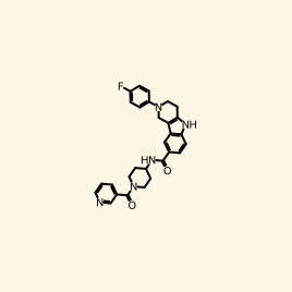 O=C(NC1CCN(C(=O)c2cccnc2)CC1)c1ccc2[nH]c3c(c2c1)CN(c1ccc(F)cc1)CC3